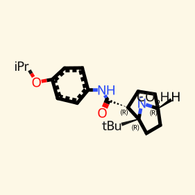 CC(C)Oc1ccc(NC(=O)[C@@H]2CC[C@@H]3CC[C@@]2(C(C)(C)C)N3C(=O)O)cc1